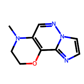 CN1CCOc2c1cnn1ccnc21